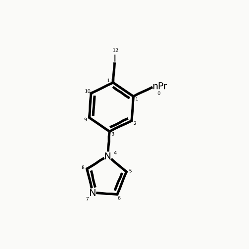 CCCc1cc(-n2ccnc2)ccc1I